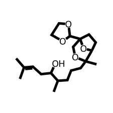 CC(C)=CCC(O)C(C)CCCC1(C)OCC2(C3OCCO3)CCC1O2